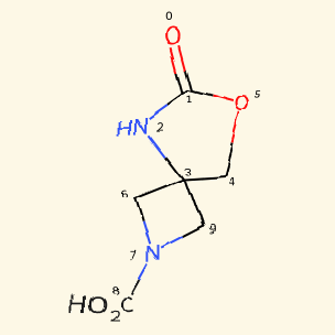 O=C1NC2(CO1)CN(C(=O)O)C2